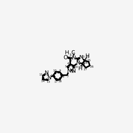 CN1C(=O)c2cn(Cc3ccc(-n4cccn4)cc3)nc2N2C1=N[C@@H]1CCC[C@@H]12